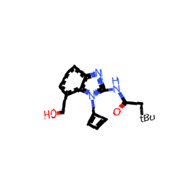 CC(C)(C)CC(=O)Nc1nc2cccc(CO)c2n1C1=CC=C1